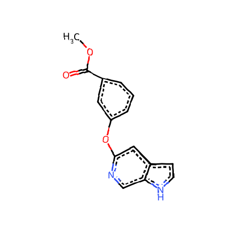 COC(=O)c1cccc(Oc2cc3cc[nH]c3cn2)c1